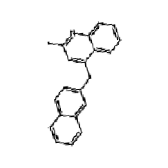 Cc1cc(Cc2ccc3[c]cccc3c2)c2ccccc2n1